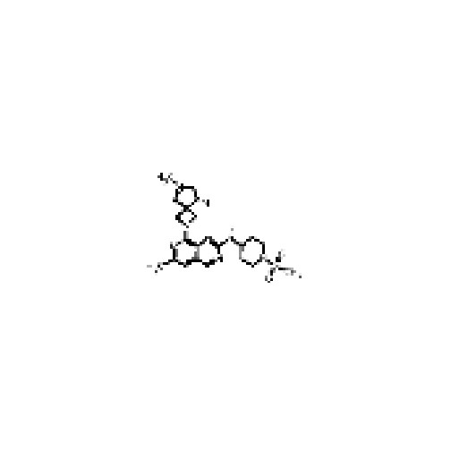 Cc1cc2cnc(NC3CCN(S(C)(=O)=O)CC3)nc2c(N2CC3(CN(C)C[C@@H]3F)C2)n1